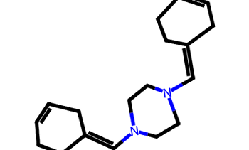 C1=CCC(=CN2CCN(C=C3CC=CCC3)CC2)CC1